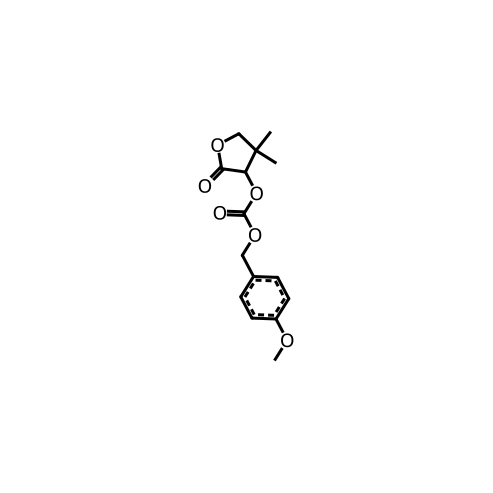 COc1ccc(COC(=O)OC2C(=O)OCC2(C)C)cc1